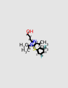 CC(C)c1nc(CCCO)n(C(C)C)c1Sc1cc(F)cc(F)c1